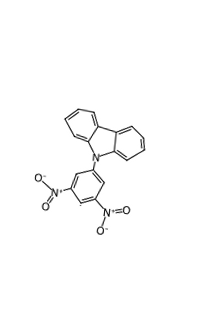 O=[N+]([O-])c1[c]c([N+](=O)[O-])cc(-n2c3ccccc3c3ccccc32)c1